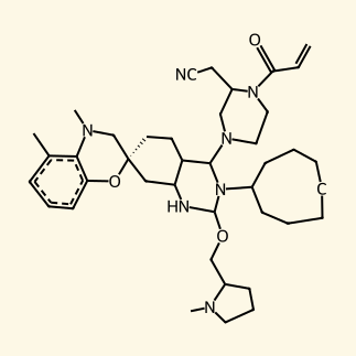 C=CC(=O)N1CCN(C2C3CC[C@@]4(CC3NC(OCC3CCCN3C)N2C2CCCCCCC2)CN(C)c2c(C)cccc2O4)CC1CC#N